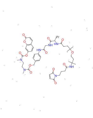 CC(C)C(NC(=O)CCC(C)(C)OCCC(C)(C)NC(=O)CCCN1C(=O)C=CC1=O)C(=O)NCC(=O)Nc1ccc(COC(=O)N(C)CCN(C)C(=O)Oc2ccc3ccc(=O)oc3c2)cc1